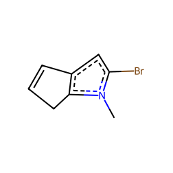 Cn1c(Br)cc2c1CC=C2